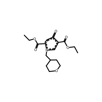 CCOC(=O)c1cn(CC2CCOCC2)c(C(=O)OCC)cc1=O